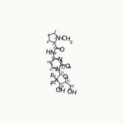 CN1CCCC1C(=O)Nc1ccn(C2OC(CO)C(O)C2(F)F)c(=O)n1